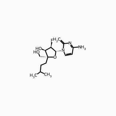 C=C1N=C(N)C=CN1[C@@H]1O[C@@](CO)(CCC(C)C)[C@@H](O)[C@H]1F